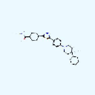 CON(C)C(=O)C1CCC(c2nnc(-c3ccc(N4CCC(OC)(C5CCCCC5)CC4)cc3)s2)CC1